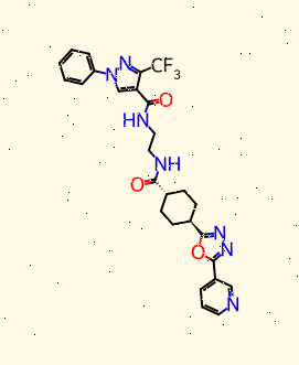 O=C(NCCNC(=O)[C@H]1CC[C@H](c2nnc(-c3cccnc3)o2)CC1)c1cn(-c2ccccc2)nc1C(F)(F)F